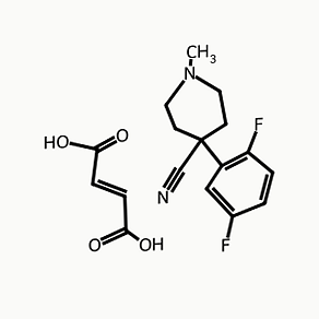 CN1CCC(C#N)(c2cc(F)ccc2F)CC1.O=C(O)C=CC(=O)O